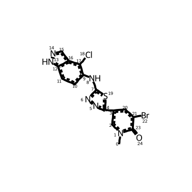 Cn1cc(-c2nnc(Nc3ccc4[nH]ncc4c3Cl)s2)cc(Br)c1=O